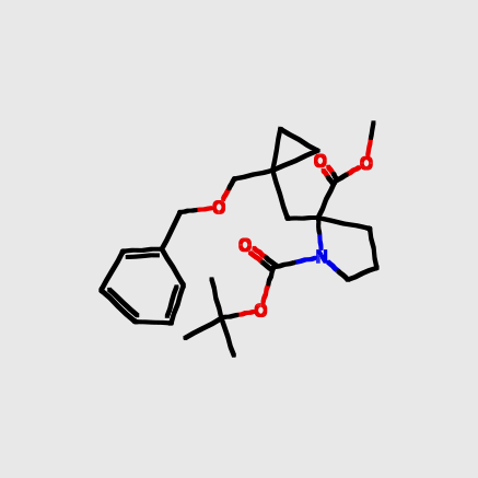 COC(=O)C1(CC2(COCc3ccccc3)CC2)CCCN1C(=O)OC(C)(C)C